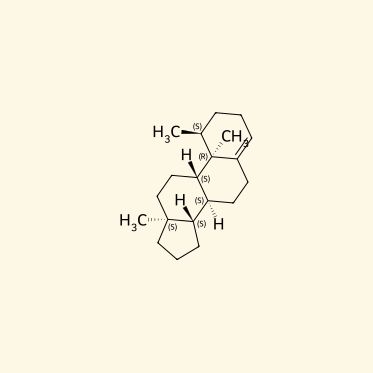 C[C@H]1CCC=C2CC[C@H]3[C@@H]4CCC[C@@]4(C)CC[C@@H]3[C@]21C